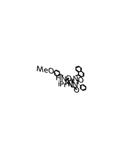 COc1ccc(CNC(=O)N(C(C)C)N2CC(=O)N3[C@@H](c4ccccc4)C(=O)N(Cc4cccc5ccccc45)C[C@@H]32)cc1